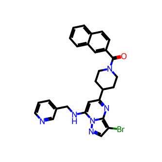 O=C(c1ccc2ccccc2c1)N1CCC(c2cc(NCc3cccnc3)n3ncc(Br)c3n2)CC1